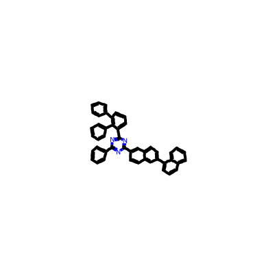 c1ccc(-c2nc(-c3ccc4cc(-c5cccc6ccccc56)ccc4c3)nc(-c3cccc(-c4ccccc4)c3-c3ccccc3)n2)cc1